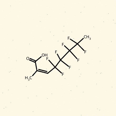 CC(=CC(F)(F)C(F)(F)C(F)(F)C(C)(F)F)C(=O)O